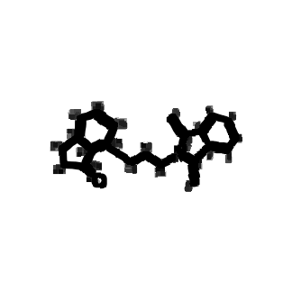 C=c1c2ccccc2c(=C)n1CCCc1cccc2c1C(=O)CC2